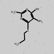 CCCSc1nc(C)nc(S)c1N